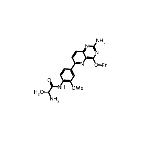 CCOc1nc(N)nc2ccc(-c3ccc(NC(=O)[C@H](C)N)c(OC)c3)nc12